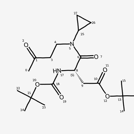 CC(=O)CCN(C(=O)[C@H](CC(=O)OC(C)(C)C)NC(=O)OC(C)(C)C)C1CC1